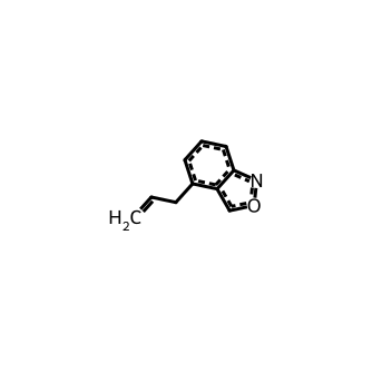 C=CCc1cccc2nocc12